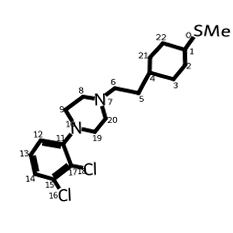 CSC1CCC(CCN2CCN(c3cccc(Cl)c3Cl)CC2)CC1